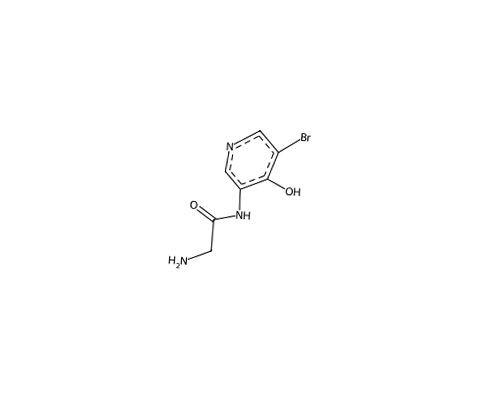 NCC(=O)Nc1cncc(Br)c1O